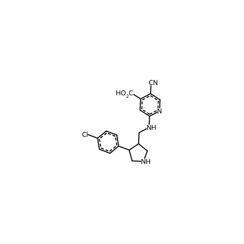 N#Cc1cnc(NCC2CNCC2c2ccc(Cl)cc2)cc1C(=O)O